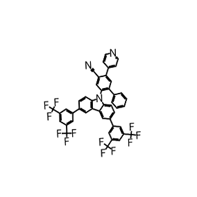 N#Cc1cc(-n2c3ccc(-c4cc(C(F)(F)F)cc(C(F)(F)F)c4)cc3c3cc(-c4cc(C(F)(F)F)cc(C(F)(F)F)c4)ccc32)c(-c2ccccc2)cc1-c1ccncc1